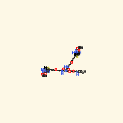 CC(C)(C)OC(=O)/N=C1\N[C@H]2[C@H](CS[C@H]2CCCCCOCCCCNC(=O)CN(CCOCCOCCNC(=O)O)CC(=O)NCCCCOCCCCC[C@@H]2SC[C@@H]3N/C(=N\C(=O)OC(C)(C)C)N[C@@H]32)N1